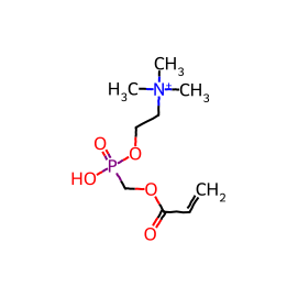 C=CC(=O)OCP(=O)(O)OCC[N+](C)(C)C